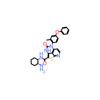 Cc1cc(Oc2ccccc2)ccc1N1C(=O)Nc2c(C(=O)N[C@@H]3CCCC[C@@H]3N)sc3nccc1c23